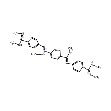 C/N=C(\NC)c1ccc(/N=C(\NC)c2ccc(/C(=N/c3ccc(/C(=N/C)NC)cc3)NC)cc2)cc1